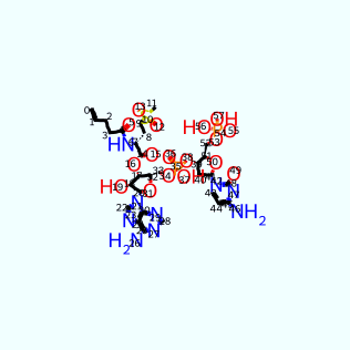 C=CCCC(=O)N[C@H](CCS(C)(=O)=O)C(=O)O[C@H]1[C@@H](O)[C@H](n2cnc3c(N)ncnc32)O[C@H]1COP(=O)(O)O[C@H]1C[C@@H](n2ccc(N)nc2=O)O[C@@H]1COP(=O)(O)O